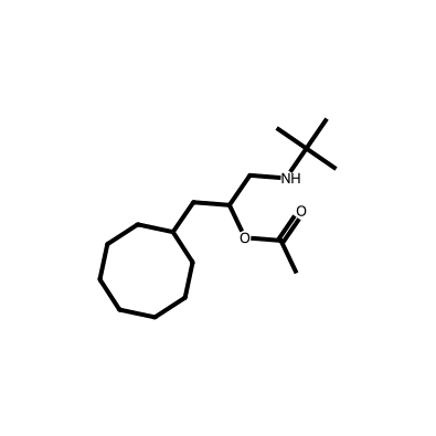 CC(=O)OC(CNC(C)(C)C)CC1CCCCCCC1